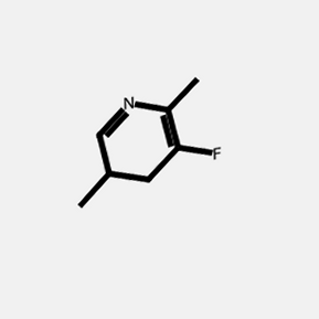 CC1=C(F)CC(C)C=N1